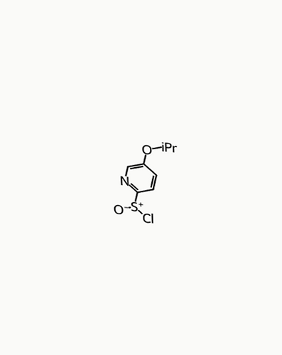 CC(C)Oc1ccc([S+]([O-])Cl)nc1